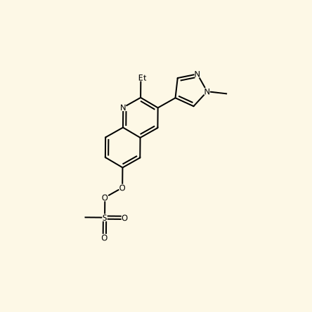 CCc1nc2ccc(OOS(C)(=O)=O)cc2cc1-c1cnn(C)c1